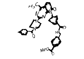 COC(=O)c1ccc(CNC(=O)c2ccc(-n3c(=O)ccc4c(C)nc(N5CCN(C(=O)c6ccccc6)CC5)nc43)cc2)cc1